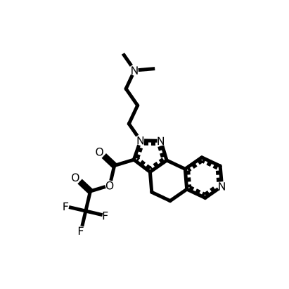 CN(C)CCCn1nc2c(c1C(=O)OC(=O)C(F)(F)F)CCc1cnccc1-2